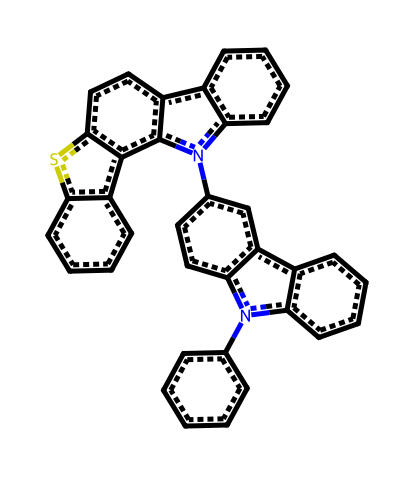 c1ccc(-n2c3ccccc3c3cc(-n4c5ccccc5c5ccc6sc7ccccc7c6c54)ccc32)cc1